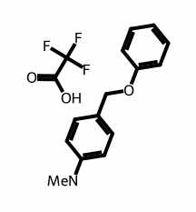 CNc1ccc(COc2ccccc2)cc1.O=C(O)C(F)(F)F